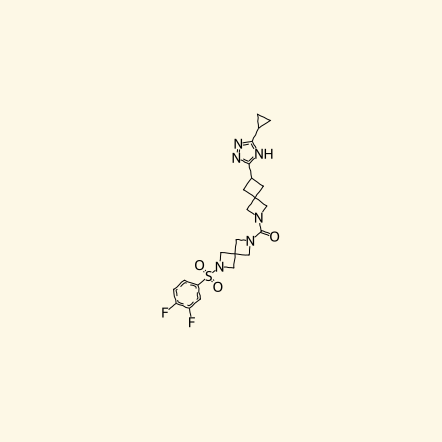 O=C(N1CC2(CC(c3nnc(C4CC4)[nH]3)C2)C1)N1CC2(C1)CN(S(=O)(=O)c1ccc(F)c(F)c1)C2